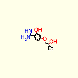 CCC(O)COc1ccc(C(=N)N)c(O)c1